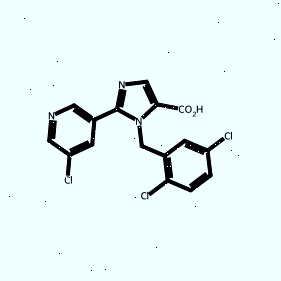 O=C(O)c1cnc(-c2cncc(Cl)c2)n1Cc1cc(Cl)ccc1Cl